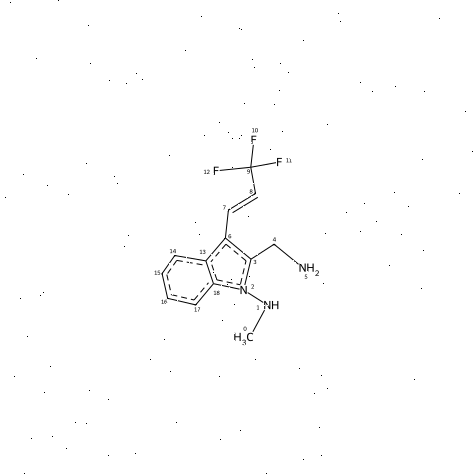 CNn1c(CN)c(C=CC(F)(F)F)c2ccccc21